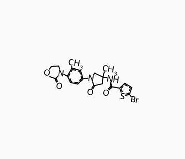 Cc1cc(N2CC(C)(NC(=O)c3ccc(Br)s3)CC2=O)ccc1N1CCOCC1=O